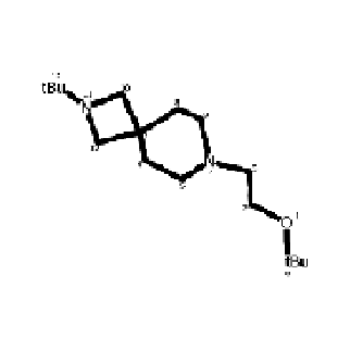 CC(C)(C)OCCN1CCC2(CC1)CN(C(C)(C)C)C2